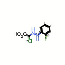 O=C(O)C(Cl)NNc1ccccc1F